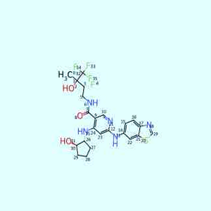 CC(O)([C@H](F)CNC(=O)c1cnc(Nc2ccc3ncsc3c2)cc1N[C@@H]1CCC[C@H]1O)C(F)(F)F